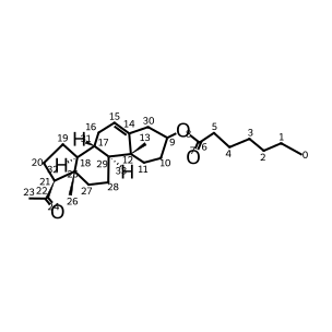 CCCCCCC(=O)OC1CC[C@@]2(C)C(=CC[C@H]3[C@@H]4CC[C@H](C(C)=O)[C@@]4(C)CC[C@@H]32)C1